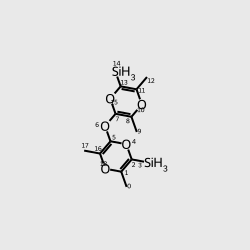 CC1=C([SiH3])OC(OC2=C(C)OC(C)=C([SiH3])O2)=C(C)O1